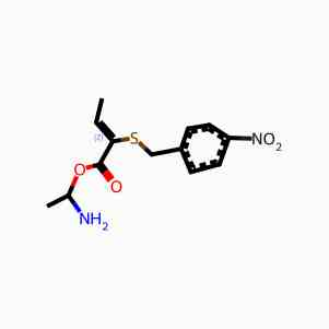 C/C=C(\SCc1ccc([N+](=O)[O-])cc1)C(=O)OC(C)N